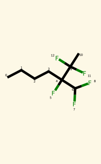 CCCCC(F)([C](F)F)C(C)(F)F